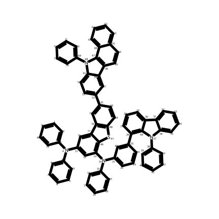 c1ccc(N(c2ccccc2)c2cc(N(c3ccccc3)c3cccc(-c4cccc5c6ccccc6n(-c6ccccc6)c45)c3)c3sc4ccc(-c5ccc6c(c5)c5ccc7ccccc7c5n6-c5ccccc5)cc4c3c2)cc1